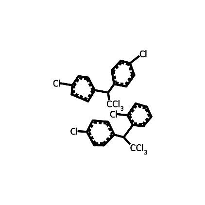 Clc1ccc(C(c2ccc(Cl)cc2)C(Cl)(Cl)Cl)cc1.Clc1ccc(C(c2ccccc2Cl)C(Cl)(Cl)Cl)cc1